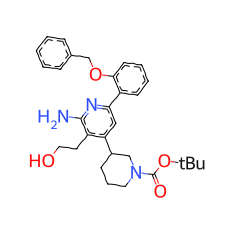 CC(C)(C)OC(=O)N1CCCC(c2cc(-c3ccccc3OCc3ccccc3)nc(N)c2CCO)C1